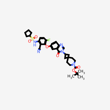 CC(C)(C)OC(=O)N1CCC2(CC1)CC(n1cnc3ccc(Oc4c(F)ccc(NS(=O)(=O)C5CCCC5)c4C#N)cc3c1=O)C2